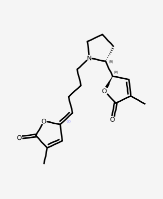 CC1=C/C(=C/CCCN2CCC[C@@H]2[C@H]2C=C(C)C(=O)O2)OC1=O